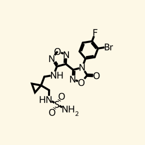 NS(=O)(=O)NCC1(CNc2nonc2-c2noc(=O)n2-c2ccc(F)c(Br)c2)CC1